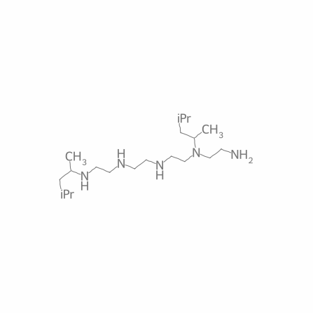 CC(C)CC(C)NCCNCCNCCN(CCN)C(C)CC(C)C